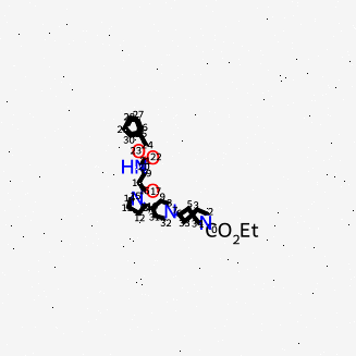 CCOC(=O)N1CCC2(CC(N3CCC([C@@H]4CCCN4C(=O)CCNC(=O)OCc4ccccc4)CC3)C2)C1